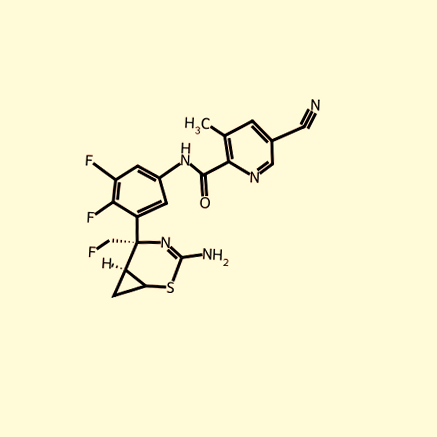 Cc1cc(C#N)cnc1C(=O)Nc1cc(F)c(F)c([C@@]2(CF)N=C(N)SC3C[C@H]32)c1